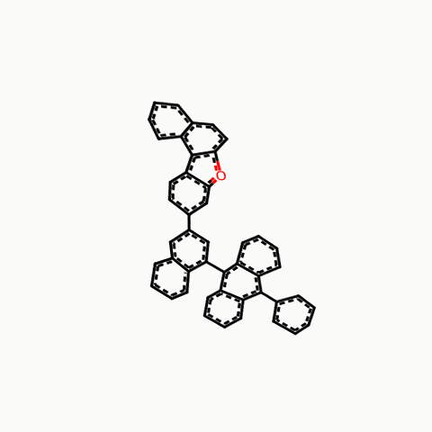 c1ccc(-c2c3ccccc3c(-c3cc(-c4ccc5c(c4)oc4ccc6ccccc6c45)cc4ccccc34)c3ccccc23)cc1